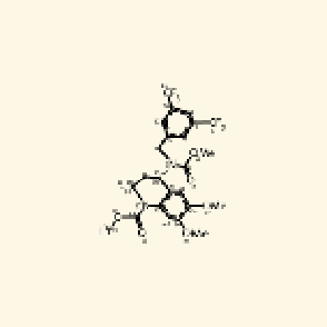 COC(=O)N(Cc1cc(C(F)(F)F)cc(C(F)(F)F)c1)[C@H]1C[C@@H](C)N(C(=O)OC(C)C)c2cc(OC)c(OC)cc21